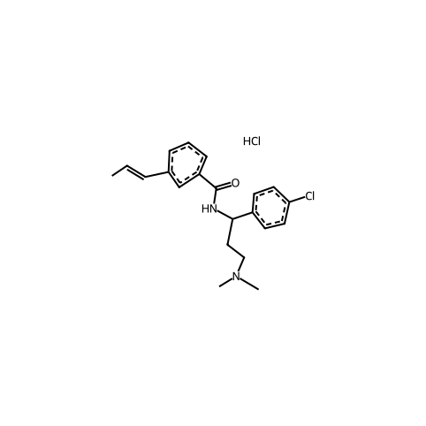 CC=Cc1cccc(C(=O)NC(CCN(C)C)c2ccc(Cl)cc2)c1.Cl